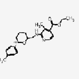 CCOC(=O)c1ccnc(NCC2CCC[C@@H](c3ccc(C)cc3)O2)c1C